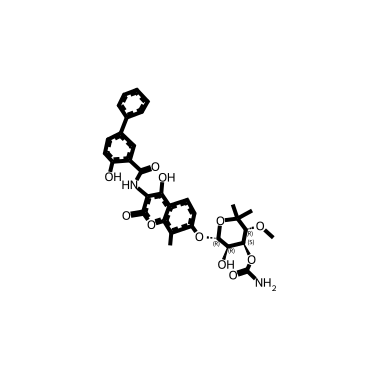 CO[C@@H]1[C@@H](OC(N)=O)[C@@H](O)[C@H](Oc2ccc3c(O)c(NC(=O)c4cc(-c5ccccc5)ccc4O)c(=O)oc3c2C)OC1(C)C